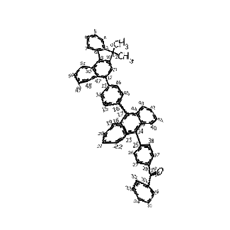 CC1(C)c2ccccc2-c2c1cc(-c1ccc(-c3c4ccccc4c(-c4ccc(C(=O)c5ccccc5)cc4)c4ccccc34)cc1)c1ccccc21